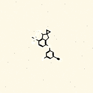 CS(=O)(=O)c1ccc(Oc2cc(F)cc(C#N)c2)c2c1C(O)C1(CC1)C2